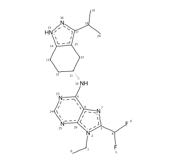 CCn1c(C(F)F)nc2c(N[C@@H]3CCc4[nH]nc(C(C)C)c4C3)ncnc21